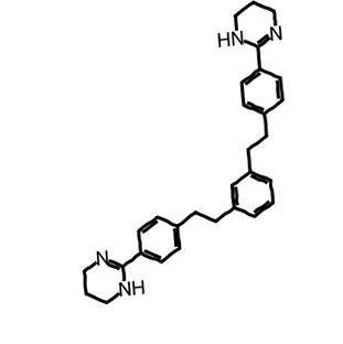 c1cc(CCc2ccc(C3=NCCCN3)cc2)cc(CCc2ccc(C3=NCCCN3)cc2)c1